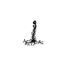 CC(=O)OC1O[C@H](COCCOCCOCCOCc2ccccc2)[C@@H](OC(C)=O)[C@H]1OC(C)=O